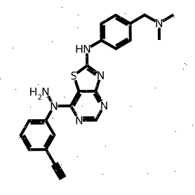 C#Cc1cccc(N(N)c2ncnc3nc(Nc4ccc(CN(C)C)cc4)sc23)c1